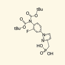 CC(C)(C)OC(=O)N(C(=O)OC(C)(C)C)c1ccc(-n2ccc(CP(=O)(O)O)n2)cc1F